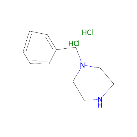 Cl.Cl.c1ccc(CN2CCNCC2)cc1